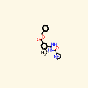 [CH2]c1ccc(C(=O)OCc2ccccc2)cc1C(=N)NC(=O)[C@@H]1CCCN1